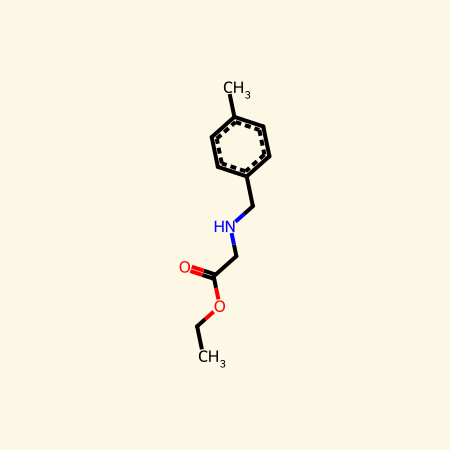 CCOC(=O)CNCc1ccc(C)cc1